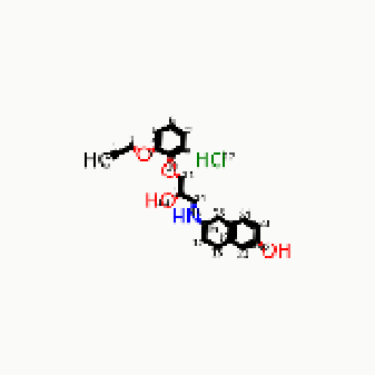 C#CCOc1ccccc1OCC(O)CNC1CCc2cc(O)ccc2C1.Cl